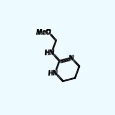 COCNC1=NCCCN1